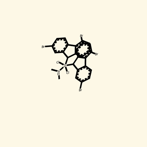 C[SiH](C)[Zr]([Cl])([Cl])([CH]1c2cc(Br)ccc2-c2ccc(Br)cc21)[CH]1c2cc(Br)ccc2-c2ccc(Br)cc21